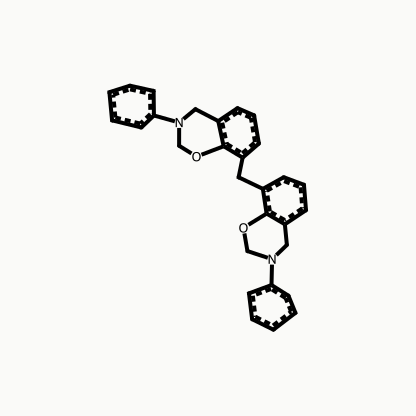 c1ccc(N2COc3c(Cc4cccc5c4OCN(c4ccccc4)C5)cccc3C2)cc1